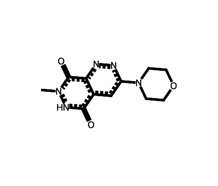 Cn1[nH]c(=O)c2cc(N3CCOCC3)nnc2c1=O